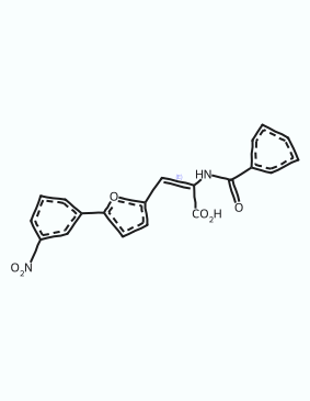 O=C(O)/C(=C\c1ccc(-c2cccc([N+](=O)[O-])c2)o1)NC(=O)c1ccccc1